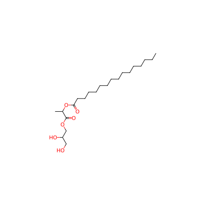 CCCCCCCCCCCCCCCC(=O)OC(C)C(=O)OCC(O)CO